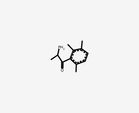 Cc1ccc(C)c(C(=O)C(C)P)c1C